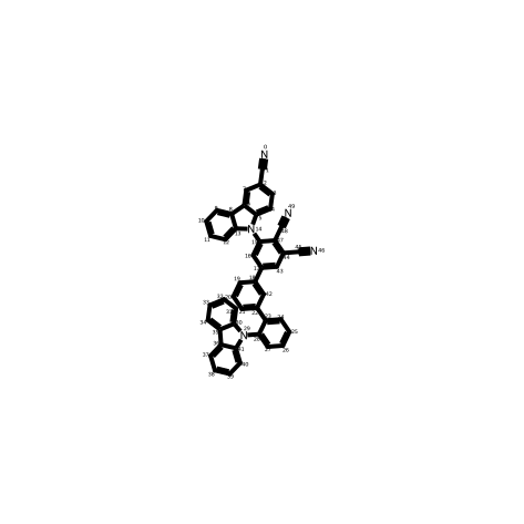 N#Cc1ccc2c(c1)c1ccccc1n2-c1cc(-c2cccc(-c3ccccc3-n3c4ccccc4c4ccccc43)c2)cc(C#N)c1C#N